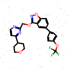 FC(F)(F)Oc1ccc(-c2ccc3onc(OCc4nccc(C5CCOCC5)n4)c3c2)cc1